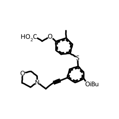 Cc1cc(Sc2cc(C#CCN3CCOCC3)cc(OCC(C)C)c2)ccc1OCC(=O)O